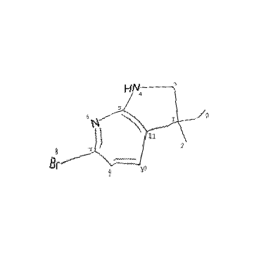 CC1(C)CNc2nc(Br)ccc21